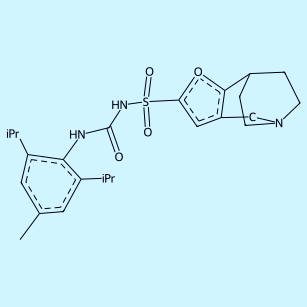 Cc1cc(C(C)C)c(NC(=O)NS(=O)(=O)c2cc3c(o2)C2CCN(CC2)C3)c(C(C)C)c1